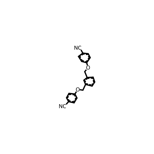 N#Cc1ccc(OCc2cccc(COc3ccc(C#N)cc3)c2)cc1